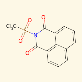 O=C1c2cccc3cccc(c23)C(=O)N1S(=O)(=O)C(Cl)(Cl)Cl